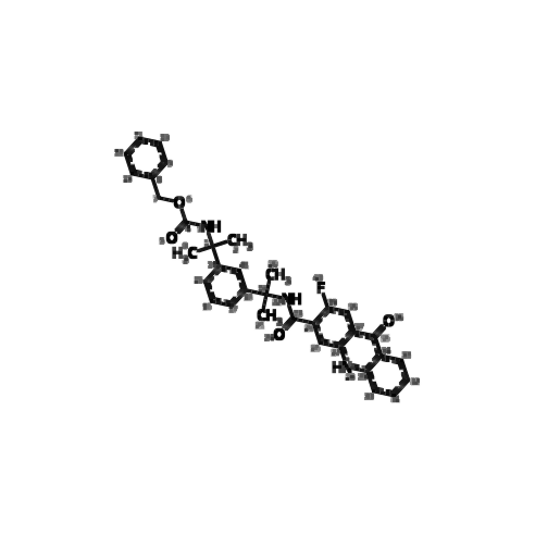 CC(C)(NC(=O)OCc1ccccc1)c1cccc(C(C)(C)NC(=O)c2cc3[nH]c4ccccc4c(=O)c3cc2F)c1